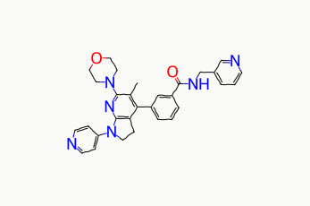 Cc1c(N2CCOCC2)nc2c(c1-c1cccc(C(=O)NCc3cccnc3)c1)CCN2c1ccncc1